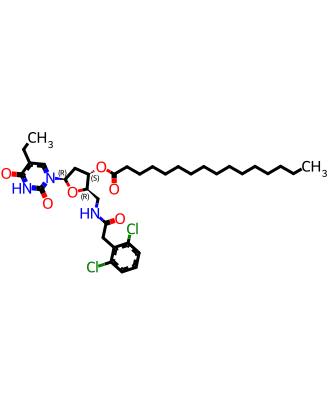 CCCCCCCCCCCCCCCC(=O)O[C@H]1C[C@H](n2cc(CC)c(=O)[nH]c2=O)O[C@@H]1CNC(=O)Cc1c(Cl)cccc1Cl